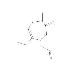 C=CNC1=CC(=C)C(=C)CC=C1CC